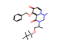 CC(CO[Si](C)(C)C(C)(C)C)N1CN(C)n2ccc(=O)c(OCc3ccccc3)c2C1=O